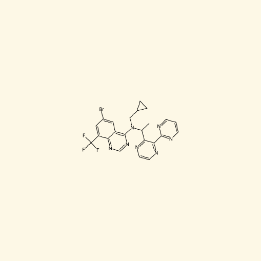 CC(c1nccnc1-c1ncccn1)N(CC1CC1)c1ncnc2c(C(F)(F)F)cc(Br)cc12